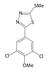 COc1c(Cl)cc(-c2nnc(SC)s2)cc1Cl